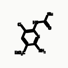 CCOC(=O)c1cc(Cl)c(NC(=O)C(C)(C)C)nc1N